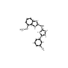 COc1cccc2sc(Nc3nnc(-c4cccc(Cl)c4)s3)nc12